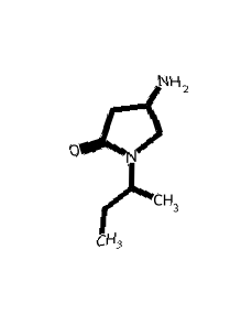 CCC(C)N1CC(N)CC1=O